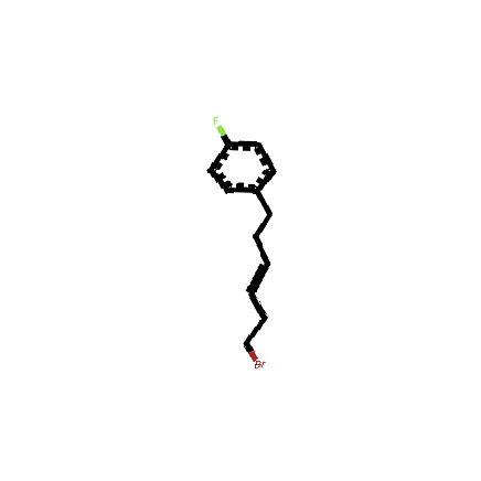 Fc1ccc(CC/C=C/CCBr)cc1